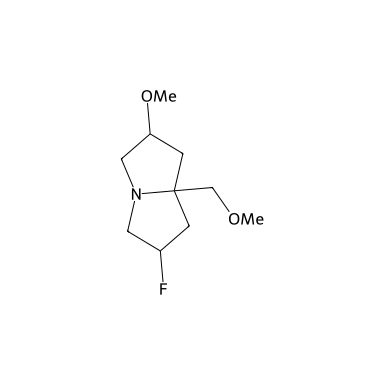 COCC12CC(F)CN1CC(OC)C2